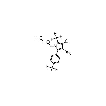 CCOCn1c(-c2ccc(C(F)(F)F)cc2)c(C#N)c(Cl)c1C(F)(F)F